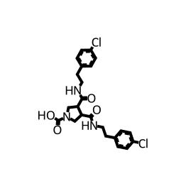 O=C(NCCc1ccc(Cl)cc1)C1CN(C(=O)O)CC1C(=O)NCCc1ccc(Cl)cc1